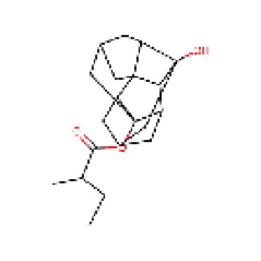 CCC(C)C(=O)OC12CC3CC4C5(O)CC6CC1C5C4(C3)C2C6